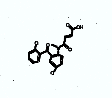 CN(C(=O)C=CC(=O)O)c1ccc(Cl)cc1C(=O)c1ccccc1Cl